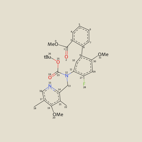 COC(=O)c1ccccc1-c1cc(N(Cc2ncc(C)c(OC)c2C)C(=O)OC(C)(C)C)c(F)cc1OC